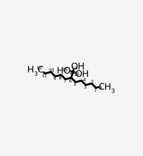 CCCCCCC(CCCCCC)C(O)(O)O